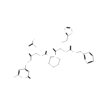 Cc1cc(OCC(=O)[C@H](CC(=O)O)NC(=O)[C@@H]2CCCCN2C(=O)[C@H](CCc2nnn[nH]2)NC(=O)OCc2ccccc2)cc(=O)o1